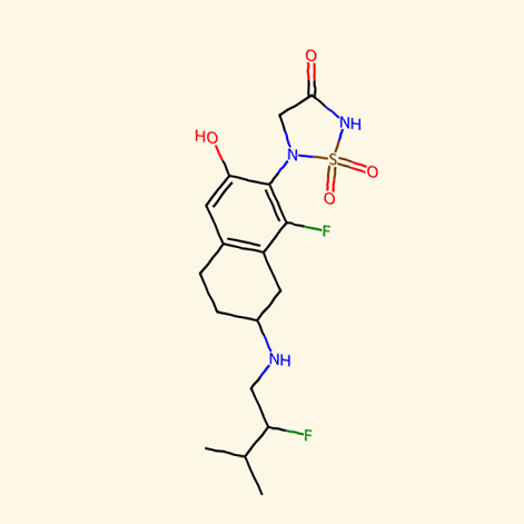 CC(C)C(F)CNC1CCc2cc(O)c(N3CC(=O)NS3(=O)=O)c(F)c2C1